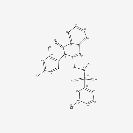 Cc1ccc(-n2c(CN(C)S(=O)(=O)c3cccc(Cl)c3)nc3ccccc3c2=O)c(C)c1